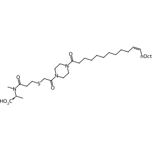 CCCCCCCC/C=C\CCCCCCCCCC(=O)N1CCN(C(=O)CSCCC(=O)N(C)[C@@H](C)C(=O)O)CC1